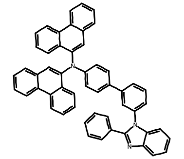 c1ccc(-c2nc3ccccc3n2-c2cccc(-c3ccc(N(c4cc5ccccc5c5ccccc45)c4cc5ccccc5c5ccccc45)cc3)c2)cc1